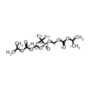 CC(C)OC(=O)OCOP(=O)(OCOC(=O)OC(C)C)C(C)(F)F